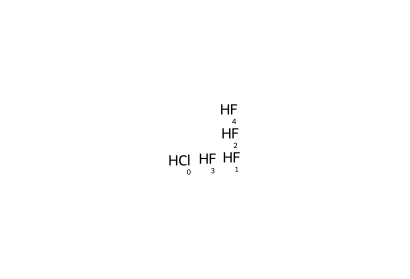 Cl.F.F.F.F